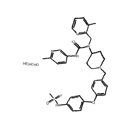 Cc1ccc(NC(=O)N(Cc2ncccc2C)C2CCN(Cc3ccc(Oc4ccc(NS(C)(=O)=O)cc4)cc3)CC2)cn1.Cl.Cl.Cl